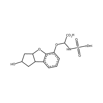 CCCCCCCCCCS(=O)(=O)NC(Oc1cccc2c1OC1CC(O)CC21)C(=O)O